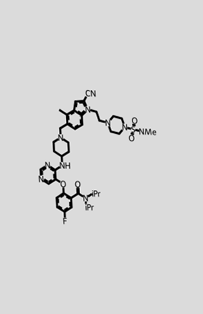 CNS(=O)(=O)N1CCN(CCn2c(C#N)cc3c(C)c(CN4CCC(Nc5ncncc5Oc5ccc(F)cc5C(=O)N(C(C)C)C(C)C)CC4)ccc32)CC1